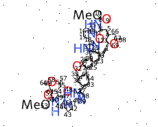 C#C[C@@H]1C/C(=C\[C@H](NC(=O)OC)C(=O)N2[C@@H](C)CC[C@H]2c2nc3ccc4cc5c(cc4c3[nH]2)OCc2cc(-c3cnc([C@@H]4CC[C@H](C)N4C(=O)[C@@H](NC(=O)OC)C4C[C@@H](C)O[C@H](C)C4)[nH]3)ccc2-5)C[C@@H](C)O1